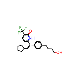 O=c1[nH]c(/C(=C\C2CCCC2)c2ccc(CCCCO)cc2)ccc1C(F)(F)F